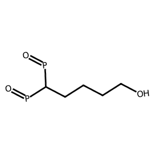 O=PC(CCCCO)P=O